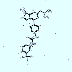 CN(C)Cc1cc(-c2ccc(NC(=O)Nc3cccc(C(F)(F)F)c3)cc2)c2cnn(C)c2n1